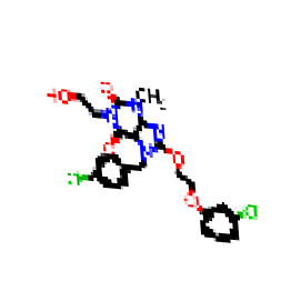 CN1C(=O)N(CCO)C(=O)C2C1N=C(OCCOc1cccc(Cl)c1)N2Cc1ccc(Cl)cc1